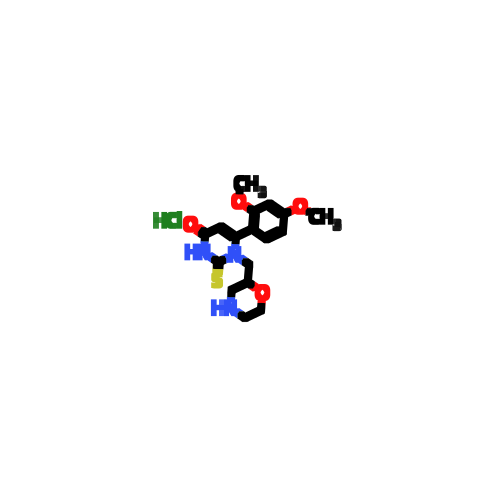 COc1ccc(-c2cc(=O)[nH]c(=S)n2CC2CNCCO2)c(OC)c1.Cl